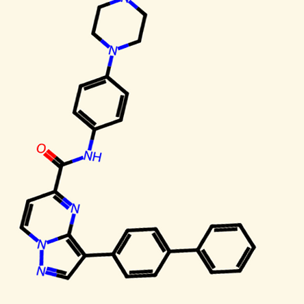 O=C(Nc1ccc(N2CCNCC2)cc1)c1ccn2ncc(-c3ccc(-c4ccccc4)cc3)c2n1